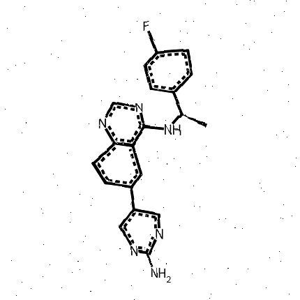 C[C@@H](Nc1ncnc2ccc(-c3cnc(N)nc3)cc12)c1ccc(F)cc1